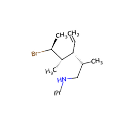 C=C[C@H](C(C)CNC(C)C)[C@H](C)[C@H](C)Br